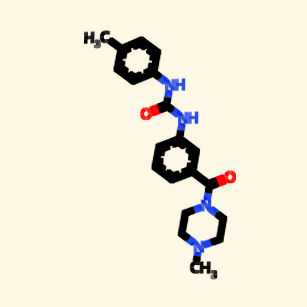 Cc1ccc(NC(=O)Nc2cccc(C(=O)N3CCN(C)CC3)c2)cc1